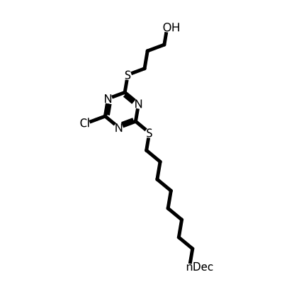 CCCCCCCCCCCCCCCCCCSc1nc(Cl)nc(SCCCO)n1